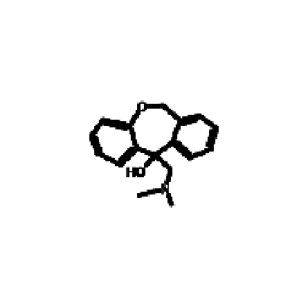 CN(C)CC1(O)c2ccccc2COc2ccccc21